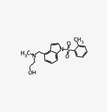 Cc1ccccc1S(=O)(=O)n1ccc2c(CN(C)CCO)cccc21